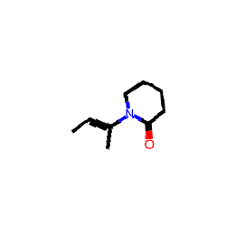 C/C=C(\C)N1CCCCC1=O